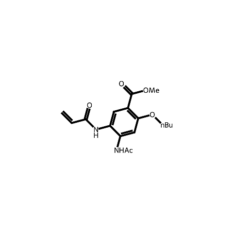 C=CC(=O)Nc1cc(C(=O)OC)c(OCCCC)cc1NC(C)=O